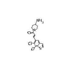 NC1CCN(C(=O)C=Cc2cc3ccsc3c(Cl)c2Cl)CC1